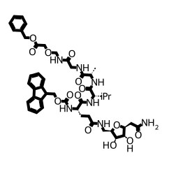 CC(C)[C@H](NC(=O)[C@H](CCC(=O)NC[C@H]1O[C@@H](CC(N)=O)[C@H](O)[C@@H]1O)NC(=O)OCC1c2ccccc2-c2ccccc21)C(=O)N[C@@H](C)C(=O)NCC(=O)NCOCC(=O)OCc1ccccc1